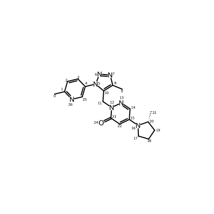 Cc1ccc(-n2nnc(C)c2Cn2ncc(N3CCC[C@H]3C)cc2=O)cn1